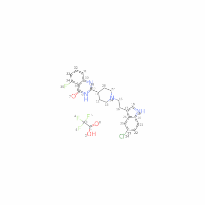 O=C(O)C(F)(F)F.O=c1[nH]c(C2CCN(CCc3c[nH]c4ccc(Cl)cc34)CC2)nc2cccc(F)c12